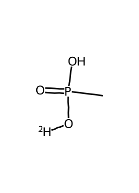 [2H]OP(C)(=O)O